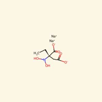 CC[C@](CC(=O)[O-])(C(=O)[O-])N(O)O.[Na+].[Na+]